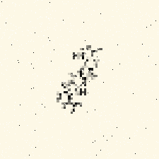 CP(C)c1ccccc1Nc1nc(Nc2ccc3c(c2)NCCC3=O)ncc1Br